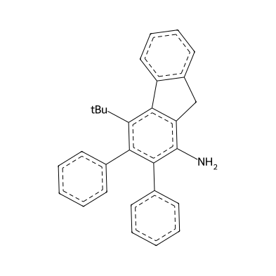 CC(C)(C)c1c2c(c(N)c(-c3ccccc3)c1-c1ccccc1)Cc1ccccc1-2